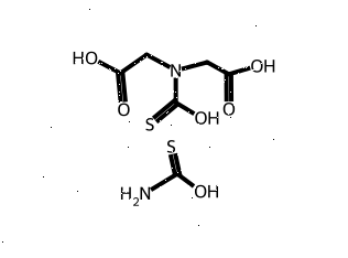 NC(O)=S.O=C(O)CN(CC(=O)O)C(O)=S